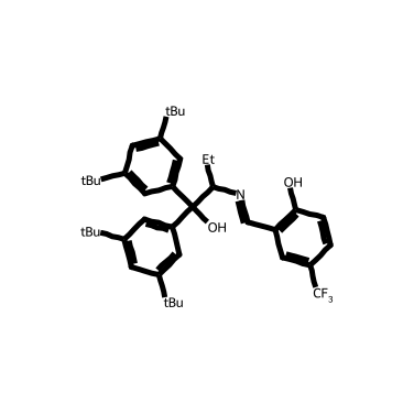 CCC(N=Cc1cc(C(F)(F)F)ccc1O)C(O)(c1cc(C(C)(C)C)cc(C(C)(C)C)c1)c1cc(C(C)(C)C)cc(C(C)(C)C)c1